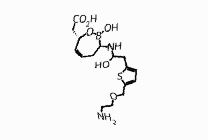 NCCOCc1ccc(CC(O)N[C@H]2CC=C[C@H](CC(=O)O)OB2O)s1